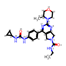 CCNC(=O)N1Cc2nc(N3CCOC[C@@H]3C)nc(-c3ccc(NC(=O)NC4CC4)cc3)c2C1